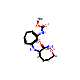 CC(C)(C)OC(=O)NC1=CCC=CC(NC2CCCCONC2=O)=C1